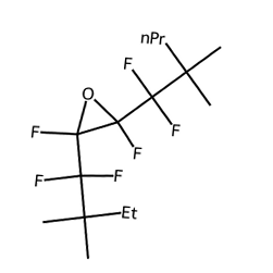 CCCC(C)(C)C(F)(F)C1(F)OC1(F)C(F)(F)C(C)(C)CC